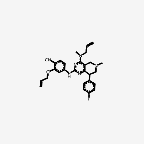 [C-]#[N+]c1ccc(Nc2nc3c(c(N(C)CC=C)n2)CN(C)CC3c2ccc(F)cc2)cc1OCC=C